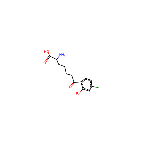 NC(CCCCC(=O)c1ccc(Cl)cc1O)C(=O)O